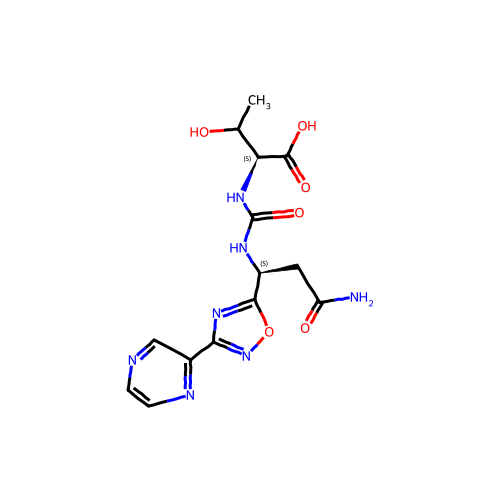 CC(O)[C@H](NC(=O)N[C@@H](CC(N)=O)c1nc(-c2cnccn2)no1)C(=O)O